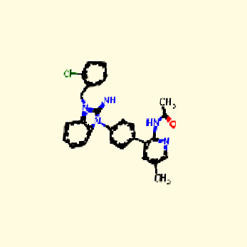 CC(=O)Nc1ncc(C)cc1-c1ccc(-n2c(=N)n(Cc3ccccc3Cl)c3ccccc32)cc1